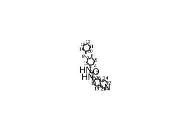 O=C(Nc1cccc(Cc2ccccc2)c1)Nc1ccc2cnccc2c1